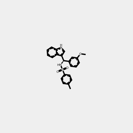 COc1cccc([C@@H](NS(=O)(=O)c2ccc(C)cc2)c2c[nH]c3ccccc23)c1